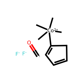 [CH3][Co+2]([CH3])([CH3])([CH3])[C]1=CC=CC1.[C]=O.[F-].[F-]